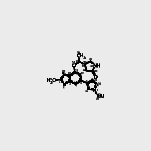 Cc1nc2cc(-c3cnn(C(C)(C)C)c3)cc(OC(C)[C@H]3CNC(=O)C3)c2s1